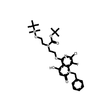 CC(C)(C)OC(=O)N(CCOc1nc(Cl)c(F)c2c1c(O)cc(=O)n2Cc1ccccc1)CCO[Si](C)(C)C(C)(C)C